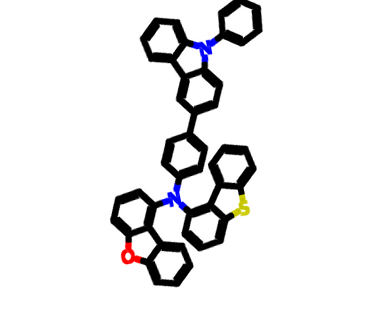 c1ccc(-n2c3ccccc3c3cc(-c4ccc(N(c5cccc6oc7ccccc7c56)c5cccc6sc7ccccc7c56)cc4)ccc32)cc1